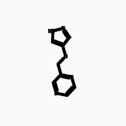 [c]1n[nH]cc1OCc1cnccn1